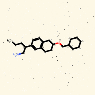 CCCC(CN)c1ccc2c(c1)CCC(OCC1CCCCC1)C2